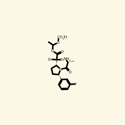 CCOC(=O)OC(C)OC(=O)C(CC)(CC)[C@H]1CC[C@@H](c2cccc(F)c2)N1C(=O)[C@@H](C)N